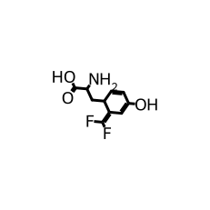 NC(CC1C=CC(O)=CC1=C(F)F)C(=O)O